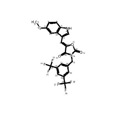 COc1ccc2[nH]cc(C=C3OC(=O)N(Cc4cc(C(F)(F)F)cc(C(F)(F)F)c4)C3=O)c2c1